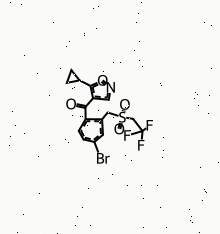 O=C(c1ccc(Br)cc1CS(=O)(=O)CC(F)(F)F)c1cnoc1C1CC1